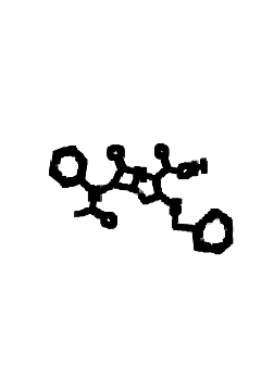 CC(=O)N(c1ccccc1)C1C(=O)N2C(C(=O)O)=C(SCc3ccccc3)CC12